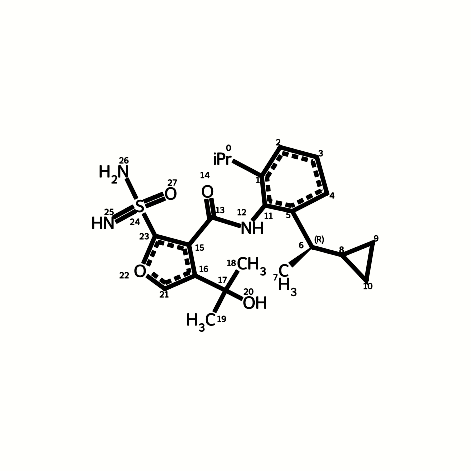 CC(C)c1cccc([C@H](C)C2CC2)c1NC(=O)c1c(C(C)(C)O)coc1S(=N)(N)=O